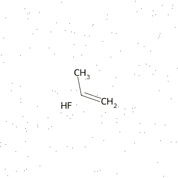 C=CC.F